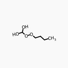 CCCCOOC(O)O